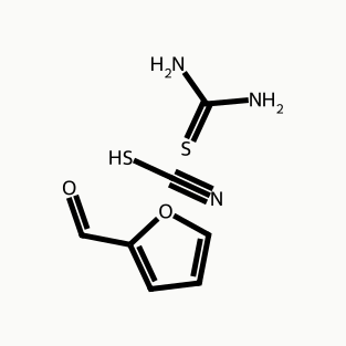 N#CS.NC(N)=S.O=Cc1ccco1